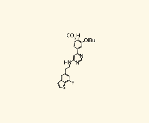 CC(C)COc1cc(-c2cc(NCCc3cc(F)c4sccc4c3)ncn2)ccc1C(=O)O